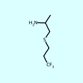 CC(N)CSCCC(F)(F)F